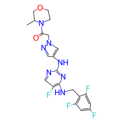 CC1COCCN1C(=O)Cn1cc(Nc2ncc(F)c(NCc3c(F)cc(F)cc3F)n2)cn1